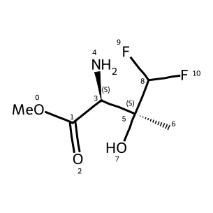 COC(=O)[C@@H](N)[C@](C)(O)C(F)F